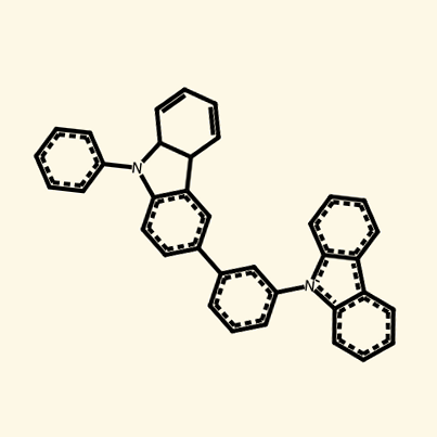 C1=CC2c3cc(-c4cccc(-n5c6ccccc6c6ccccc65)c4)ccc3N(c3ccccc3)C2C=C1